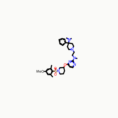 COc1cc(C)c(S(=O)(=O)N2CCCC(Oc3ccnc(N(C)CCN4CCC(c5ccccc5)(N(C)C)CC4)n3)C2)c(C)c1